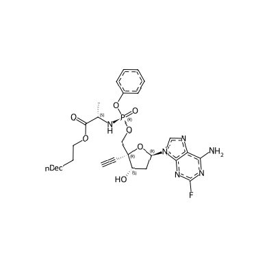 C#C[C@]1(CO[P@](=O)(N[C@@H](C)C(=O)OCCCCCCCCCCCC)Oc2ccccc2)O[C@@H](n2cnc3c(N)nc(F)nc32)C[C@@H]1O